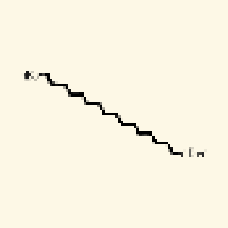 [CH2]CCC/C=C/CCCCCCCCCCCCCCCCCCCCCCC[CH2]